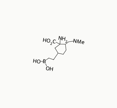 CNCC1CCC(CCB(O)O)CC1(N)C(=O)O